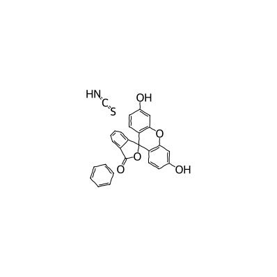 N=C=S.O=C1OC2(c3ccc(O)cc3Oc3cc(O)ccc32)c2ccccc21.c1ccccc1